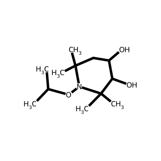 CC(C)ON1C(C)(C)CC(O)C(O)C1(C)C